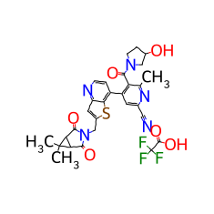 Cc1nc(C#N)cc(-c2ccnc3cc(CN4C(=O)C5C(C4=O)C5(C)C)sc23)c1C(=O)N1CCC(O)C1.O=C(O)C(F)(F)F